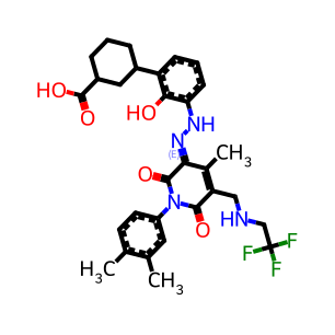 CC1=C(CNCC(F)(F)F)C(=O)N(c2ccc(C)c(C)c2)C(=O)/C1=N/Nc1cccc(C2CCCC(C(=O)O)C2)c1O